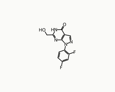 O=c1[nH]c(CO)nc2c1cnn2-c1ccc(F)cc1F